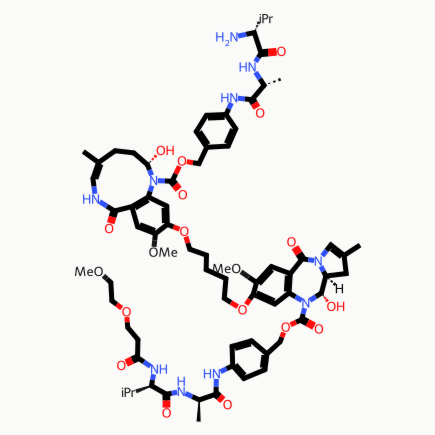 COCCOCCC(=O)N[C@@H](C(=O)N[C@H](C)C(=O)Nc1ccc(COC(=O)N2c3cc(OCCCCCOc4cc5c(cc4OC)C(=O)N/C=C(/C)CC[C@H](O)N5C(=O)OCc4ccc(NC(=O)[C@@H](C)NC(=O)[C@H](N)C(C)C)cc4)c(OC)cc3C(=O)N3C=C(C)C[C@H]3[C@@H]2O)cc1)C(C)C